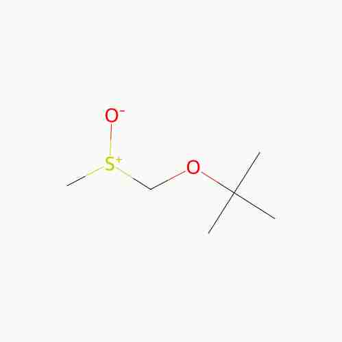 C[S+]([O-])COC(C)(C)C